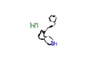 C(#Cc1cccc2c1CCNCC2)Cc1ccccc1.Cl